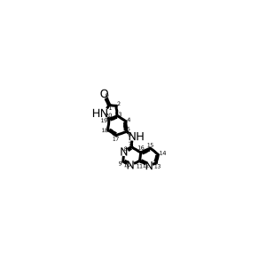 O=C1Cc2cc(Nc3ncnc4ncccc34)ccc2N1